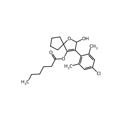 CCCCCC(=O)OC1=C(c2c(C)cc(Cl)cc2C)C(O)OC12CCCC2